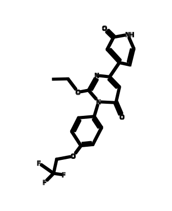 CCOc1nc(-c2cc[nH]c(=O)c2)cc(=O)n1-c1ccc(OCC(F)(F)F)cc1